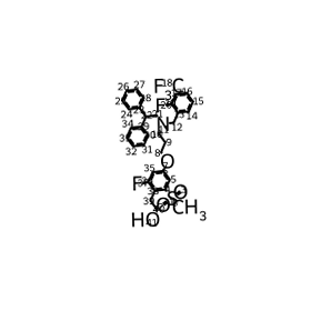 CS(=O)(=O)c1cc(OCCCN(Cc2cccc(C(F)(F)F)c2F)CC(c2ccccc2)c2ccccc2)cc(F)c1CCO